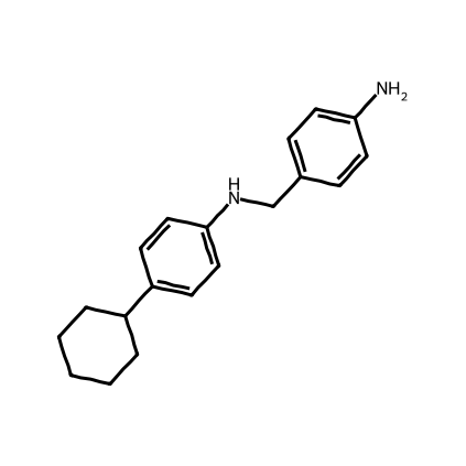 Nc1ccc(CNc2ccc(C3CCCCC3)cc2)cc1